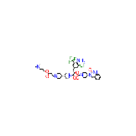 CN(C)CCCOC(=O)CCN1CCC(C2CCN(C(=O)[C@@H](Cc3cc(Cl)c(N)c(C(F)(F)F)c3)OC(=O)N3CCC(N4Cc5ccccc5NC4=O)CC3)CC2)CC1